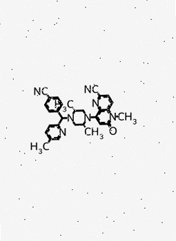 Cc1ccc(C(c2ccc(C#N)cc2)N2C[C@H](C)N(c3cc(=O)n(C)c4ccc(C#N)nc34)C[C@H]2C)nc1